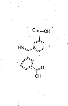 N=C(c1cccc(C(=O)O)c1)c1cccc(C(=O)O)c1